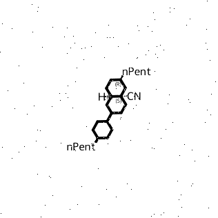 CCCCCC1CCC(C2CC[C@]3(C#N)C[C@H](CCCCC)CC[C@@H]3C2)CC1